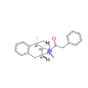 CN1CC[C@]2(C)c3ccccc3C[C@@H]1[C@@H]2N(C)C(=O)Cc1ccccc1